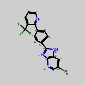 FC(F)(F)c1cccnc1-c1ccc(-c2nc3ncc(Br)cc3[nH]2)cc1